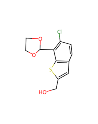 OCc1cc2ccc(Cl)c(C3OCCO3)c2s1